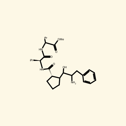 COC(=O)C(NC(=O)[C@@H](NC(=O)[C@H]1CCCC1C(O)C(N)Cc1ccccc1)C(C)C)C(C)C